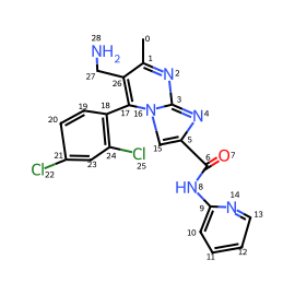 Cc1nc2nc(C(=O)Nc3ccccn3)cn2c(-c2ccc(Cl)cc2Cl)c1CN